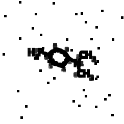 CN(C)c1ccc(P)cc1